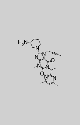 CC#CCn1c(N2CCC[C@@H](N)C2)nc2c1c(=O)n(C(C)c1nc(C)cc(C)n1)c(=O)n2C